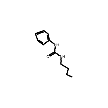 CCCCNC(=O)Nc1[c]cccc1